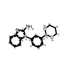 Nc1nc2ccccc2n1-c1cccc(B2OCCCO2)c1